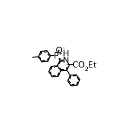 CCOC(=O)c1[nH]/c(=[P+](\[O-])c2ccc(C)cc2)c2ccccc2c1-c1ccccc1